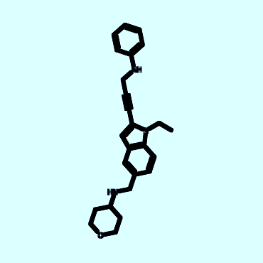 CCn1c(C#CCNc2ccccc2)cc2cc(CNC3CCOCC3)ccc21